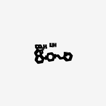 O=C(O)c1cc2cccc(N3CCN(CCc4ccccn4)CC3)c2o1.[LiH]